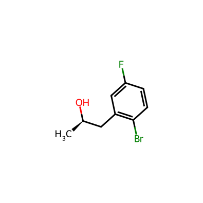 C[C@@H](O)Cc1cc(F)ccc1Br